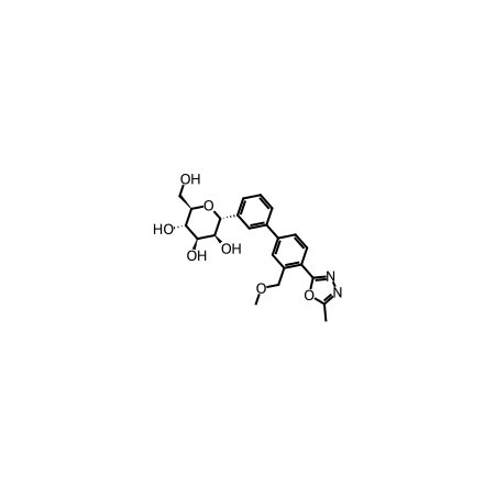 COCc1cc(-c2cccc([C@H]3O[C@H](CO)[C@@H](O)[C@H](O)[C@@H]3O)c2)ccc1-c1nnc(C)o1